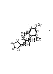 CCCc1cc(CC)c(NC(=S)NC2CCCC2)c(CC)c1